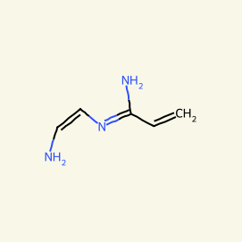 C=C/C(N)=N/C=C\N